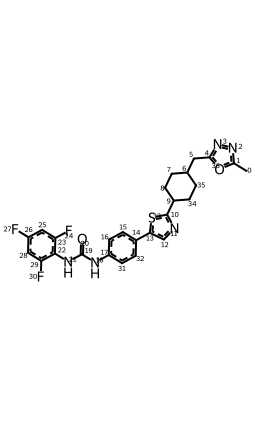 Cc1nnc(CC2CCC(c3ncc(-c4ccc(NC(=O)Nc5c(F)cc(F)cc5F)cc4)s3)CC2)o1